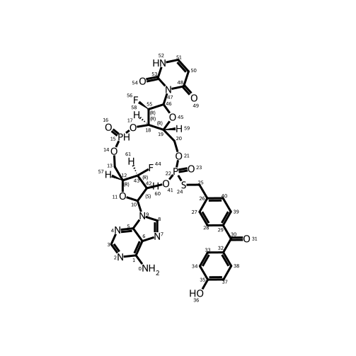 Nc1ncnc2c1ncn2C1O[C@@H]2CO[PH](=O)O[C@@H]3[C@@H](COP(=O)(SCc4ccc(C(=O)c5ccc(O)cc5)cc4)O[C@@H]1[C@@H]2F)OC(n1c(=O)cc[nH]c1=O)[C@@H]3F